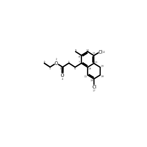 CCOC(=O)CCc1c(C)cc(Cl)c2c1C=C(Cl)CC2